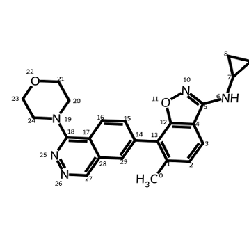 Cc1ccc2c(NC3CC3)noc2c1-c1ccc2c(N3CCOCC3)nncc2c1